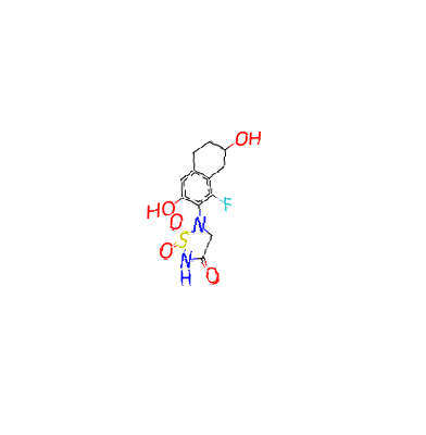 O=C1CN(c2c(O)cc3c(c2F)CC(O)CC3)S(=O)(=O)N1